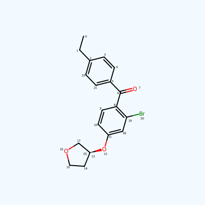 CCc1ccc(C(=O)c2ccc(O[C@H]3CCOC3)cc2Br)cc1